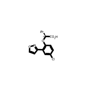 CC(C)[C@H](Oc1ccc(Cl)cc1-c1ccon1)C(=O)O